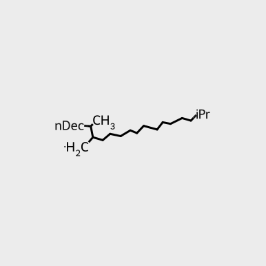 [CH2]C(CCCCCCCCCCCC(C)C)C(C)CCCCCCCCCC